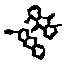 N#CC1=CC2=Cc3ccccc3OC2=NC1.O=C1c2cccc(O)c2C(=O)c2cccc(O)c21